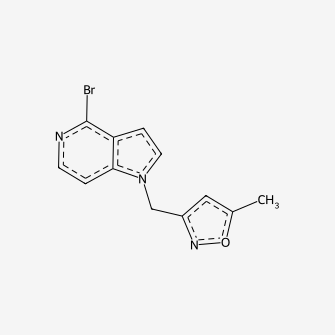 Cc1cc(Cn2ccc3c(Br)nccc32)no1